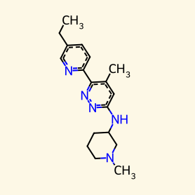 CCc1ccc(-c2nnc(NC3CCCN(C)C3)cc2C)nc1